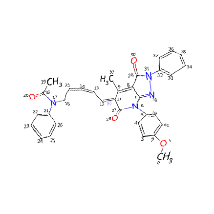 COc1ccc(-n2c3c(c(C)/c(=C\C=C=CCN(C(C)=O)c4ccccc4)c2=O)C(=O)N(c2ccccc2)N=3)cc1